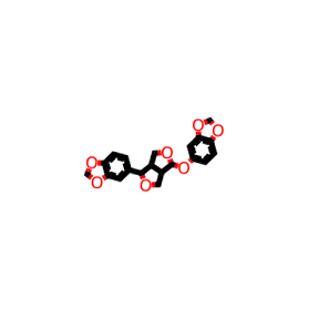 c1cc2c(cc1OC1OCC3C(c4ccc5c(c4)OCO5)OCC13)OCO2